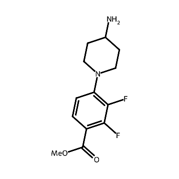 COC(=O)c1ccc(N2CCC(N)CC2)c(F)c1F